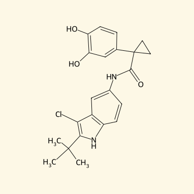 CC(C)(C)c1[nH]c2ccc(NC(=O)C3(c4ccc(O)c(O)c4)CC3)cc2c1Cl